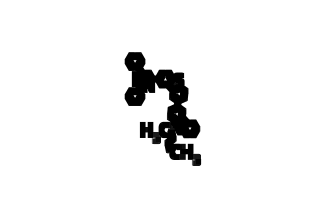 C/C=C\C=C(/C)n1c2ccccc2c2cc(-c3ccc4sc5ccc(-c6cc(-c7ccccc7)nc(-c7ccccc7)n6)cc5c4c3)ccc21